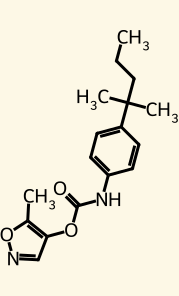 CCCC(C)(C)c1ccc(NC(=O)Oc2cnoc2C)cc1